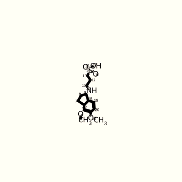 COC1=C(OC)C2CCC(NCCCS(=O)(=O)O)C2C=C1